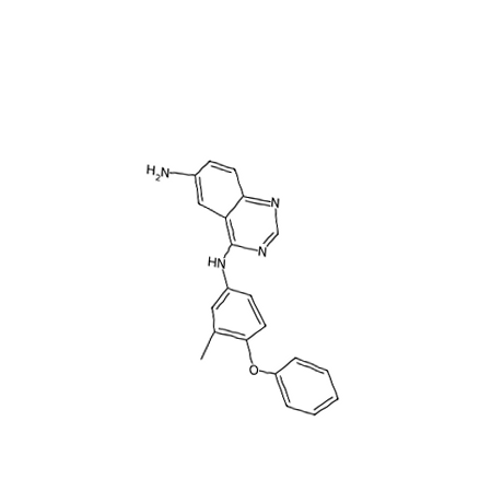 Cc1cc(Nc2ncnc3ccc(N)cc23)ccc1Oc1ccccc1